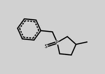 CC1CCP(=S)(Cc2ccccc2)C1